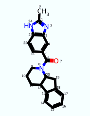 Cc1nc2cc(C(=O)N3CCCC4c5ccccc5CC43)ccc2[nH]1